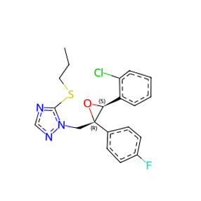 CCCSc1ncnn1C[C@@]1(c2ccc(F)cc2)O[C@H]1c1ccccc1Cl